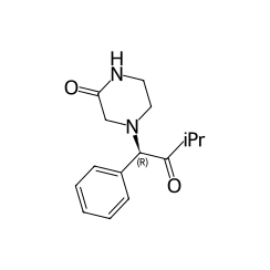 CC(C)C(=O)[C@@H](c1ccccc1)N1CCNC(=O)C1